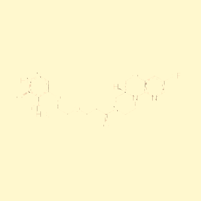 C[C@@H](COCCC(=O)N1CCN2c3ncc(C(F)(F)F)cc3OC[C@H]2C1)Oc1cn[nH]c(=O)c1C(F)(F)F